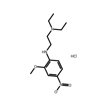 CCN(CC)CCNc1ccc([N+](=O)[O-])cc1OC.Cl